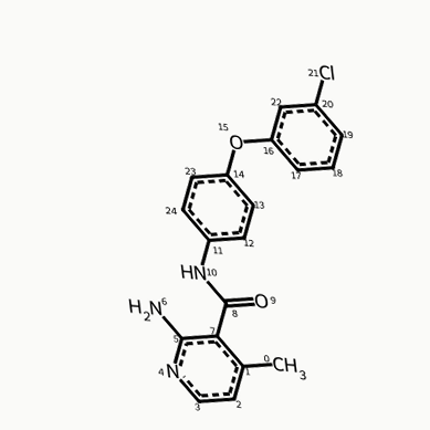 Cc1ccnc(N)c1C(=O)Nc1ccc(Oc2cccc(Cl)c2)cc1